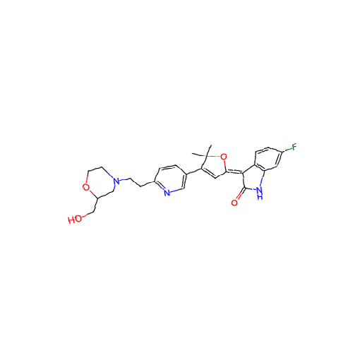 CC1(C)O/C(=C2/C(=O)Nc3cc(F)ccc32)C=C1c1ccc(CCN2CCOC(CO)C2)nc1